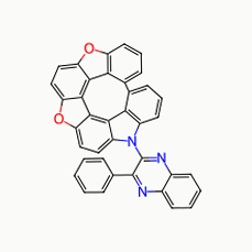 c1ccc(-c2nc3ccccc3nc2-n2c3cccc4c5cccc6oc7ccc8oc9ccc2c(c9c8c7c65)c43)cc1